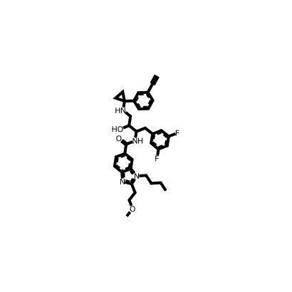 C#Cc1cccc(C2(NCC(O)C(Cc3cc(F)cc(F)c3)NC(=O)c3ccc4nc(CCOC)n(CCCC)c4c3)CC2)c1